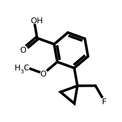 COc1c(C(=O)O)cccc1C1(CF)CC1